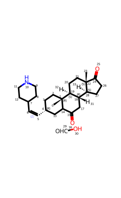 C[C@]12CC[C@@H](/C=C\C3CCNCC3)CC1C(=O)C[C@@H]1[C@@H]2CC[C@]2(C)C(=O)CC[C@@H]12.O=CO